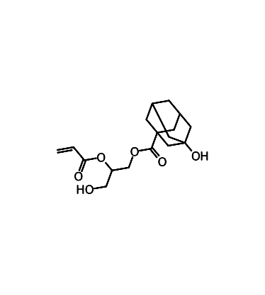 C=CC(=O)OC(CO)COC(=O)C12CC3CC(CC(O)(C3)C1)C2